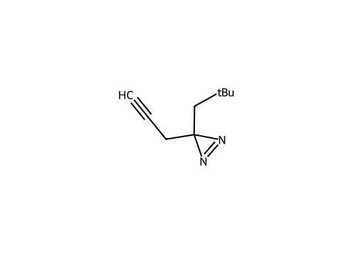 C#CCC1(CC(C)(C)C)N=N1